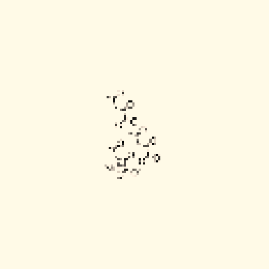 CC(=O)CC(=O)C(=O)[O-].CC(=O)CC(=O)C(=O)[O-].CC(=O)CC(=O)C(=O)[O-].[Sb+3]